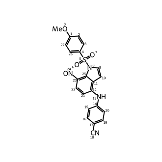 COc1ccc(S(=O)(=O)n2ccc3c(Nc4ccc(C#N)cc4)ccc(N=O)c32)cc1